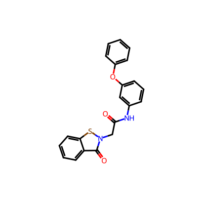 O=C(Cn1sc2ccccc2c1=O)Nc1cccc(Oc2ccccc2)c1